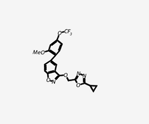 COc1cc(OC(F)(F)F)ccc1-c1ccc2onc(OCc3nnc(C4CC4)o3)c2c1